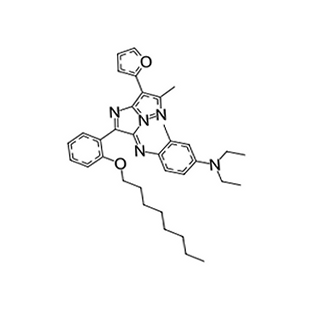 CCCCCCCCOc1ccccc1C1=Nc2c(-c3ccco3)c(C)nn2/C1=N\c1ccc(N(CC)CC)cc1C